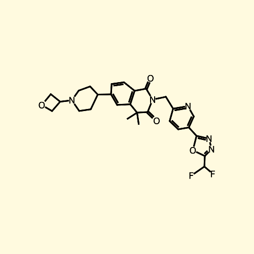 CC1(C)C(=O)N(Cc2ccc(-c3nnc(C(F)F)o3)cn2)C(=O)c2ccc(C3CCN(C4COC4)CC3)cc21